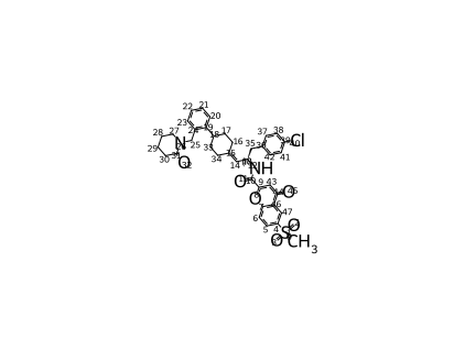 CS(=O)(=O)c1ccc2oc(C(=O)N[C@@H](C=C3CCC(c4ccccc4CN4CCCCC4=O)CC3)Cc3ccc(Cl)cc3)cc(=O)c2c1